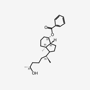 C[C@@H](O)CCC[C@H](C)C1CC[C@H]2[C@@H](OC(=O)c3ccccc3)CCC[C@]12C